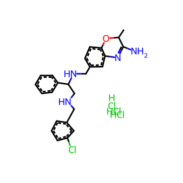 CC1Oc2ccc(CNC(CNCc3cccc(Cl)c3)c3ccccc3)cc2N=C1N.Cl.Cl.Cl